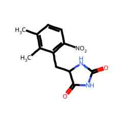 Cc1ccc([N+](=O)[O-])c(CC2NC(=O)NC2=O)c1C